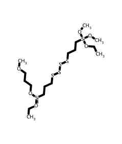 CCO[SiH](CCCSSSSCCC[Si](OC)(OC)OCC)OCCCOC